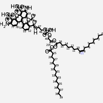 CCCCCCCC/C=C\CCCCCCCC(=O)O[C@H](COC(=O)CCCCCCCCCCCCCCC)COP(=O)(O)OCCNC(=O)c1cccc(-c2c3ccc(=N)c(S(=O)(=O)O)c-3oc3c(S(=O)(=O)O)c(N)ccc23)c1OC=O